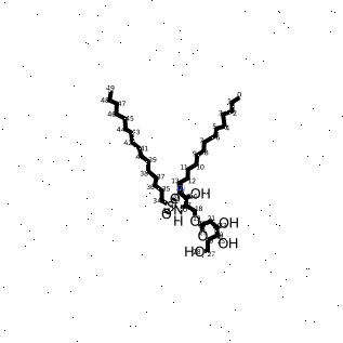 CCCCCCCCCCCCC/C=C\C(O)C(CO[C@H]1CC(O)[C@H](O)C(CO)O1)NS(=O)(=O)CCCCCCCCCCCCCCCC